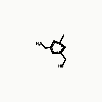 NCc1cc(I)cc(CO)c1